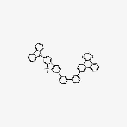 CC1(C)c2cc(-c3cccc(-c4cccc(-c5ccc6c(c5)c5ccccc5c5nccnc65)c4)c3)ccc2-c2ccc(-n3c4ccccc4c4ccccc43)cc21